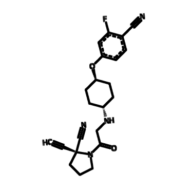 C#C[C@]1(C#N)CCCN1C(=O)CN[C@H]1CC[C@H](Oc2ccc(C#N)c(F)c2)CC1